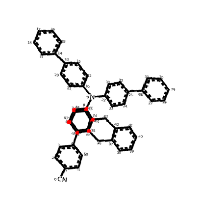 N#Cc1ccc(-c2ccc(N(c3ccc(-c4ccccc4)cc3)c3ccc(-c4ccccc4)cc3)c3c2C2c4ccccc4C3c3ccccc32)cc1